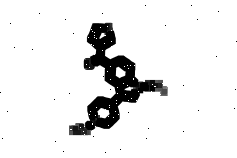 CCCCN1CC=C(c2cn(N)c3ccc(C(=O)c4ccsc4)cc23)CC1